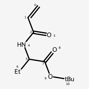 C=CC(=O)NC(CC)C(=O)OC(C)(C)C